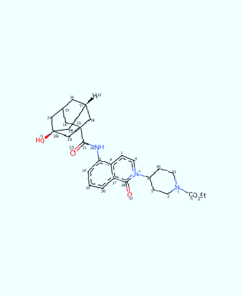 CCOC(=O)N1CCC(n2ccc3c(NC(=O)C45CC6C[C@H](C4)C[C@@](O)(C6)C5)cccc3c2=O)CC1